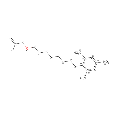 C=C(C)COCCCCCCCCc1c(C(=O)O)cc([N+](=O)[O-])cc1[N+](=O)[O-]